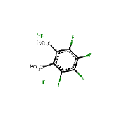 F.F.O=C(O)c1c(F)c(F)c(F)c(F)c1C(=O)O